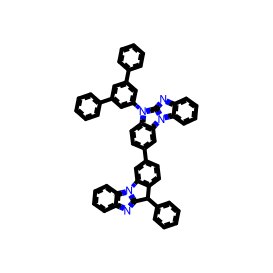 c1ccc(-c2cc(-c3ccccc3)cc(-n3c4ccc(-c5ccc6c(c5)-n5c(nc7ccccc75)C6c5ccccc5)cc4n4c5ccccc5nc34)c2)cc1